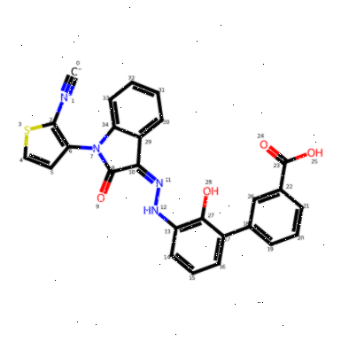 [C-]#[N+]c1sccc1N1C(=O)/C(=N\Nc2cccc(-c3cccc(C(=O)O)c3)c2O)c2ccccc21